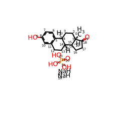 C[C@]12CC[C@@H]3c4ccc(O)cc4CC[C@H]3[C@@H]1CCC2=O.O=P(O)(O)O.[NaH].[NaH]